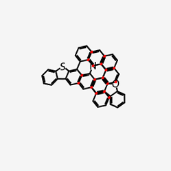 c1ccc(-c2ccccc2-c2c(-c3ccccc3)cccc2N(c2ccccc2-c2cccc3c2oc2ccccc23)c2ccccc2-c2cccc3c2sc2ccccc23)cc1